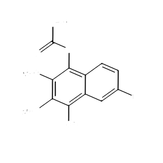 CCCCCCC(=O)Oc1c(OC)c(OC)c(OC(C)=O)c2cc(F)ccc12